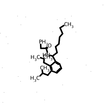 CCCCCCCC(NC(=O)CP)c1cccc(CC(C)C)c1CC(C)C